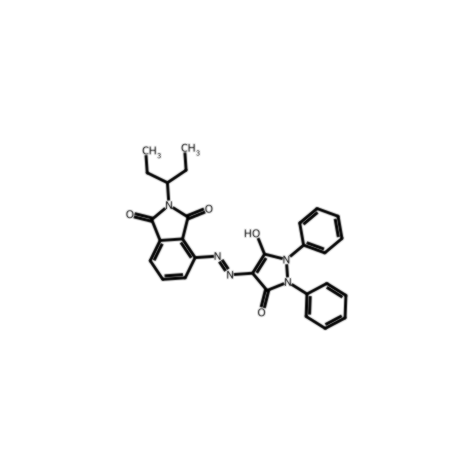 CCC(CC)N1C(=O)c2cccc(N=Nc3c(O)n(-c4ccccc4)n(-c4ccccc4)c3=O)c2C1=O